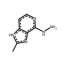 Cc1nc2c(NN)nccc2[nH]1